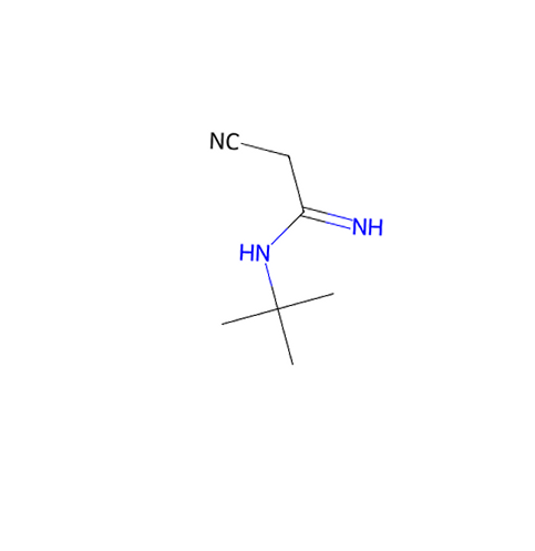 CC(C)(C)NC(=N)CC#N